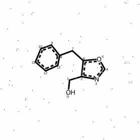 OCc1ncoc1Cc1ccccc1